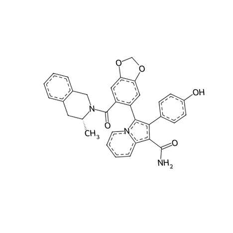 C[C@@H]1Cc2ccccc2CN1C(=O)c1cc2c(cc1-c1c(-c3ccc(O)cc3)c(C(N)=O)c3ccccn13)OCO2